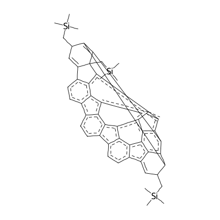 C[Si](C)(C)CC1C=C2c3ccc4c5ccc6c7ccc8c9c%10c%11c%12c%13c%14c(c3c4c3c5c6c4c7c8c%10c%13c4c%143)C2(C[Si](C)(C)C)C%12=C1C%11C(C[Si](C)(C)C)C=9